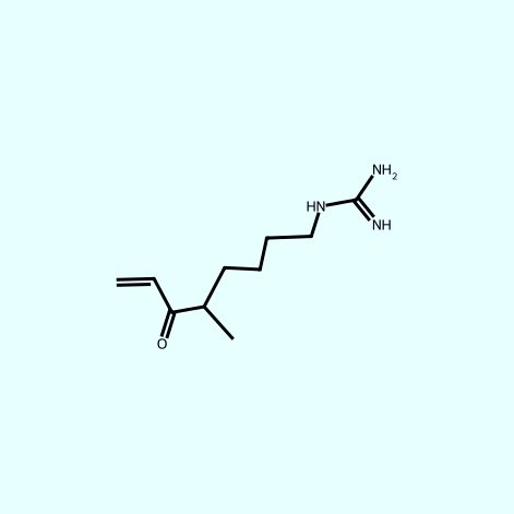 C=CC(=O)C(C)CCCCNC(=N)N